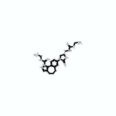 CCOC(=O)NC[C@H]1CN(c2ccc3c(c2)CCCc2cnn(C(=O)OCC)c2-3)C(=O)O1